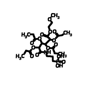 CCC(=O)OC(C(=O)NCCCP(=O)(O)O)C(OC(=O)CC)C(OC(=O)CC)C(OC(=O)CC)C(=O)OCCOC